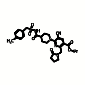 Cc1ccc(CS(=O)(=O)NC(=O)C2CCN(c3nc(CN4CCCC4=O)c(C(=O)OC(C)C)cc3C#N)CC2)cc1